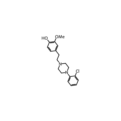 COc1cc(CCN2CCN(c3ccccc3Cl)CC2)ccc1O